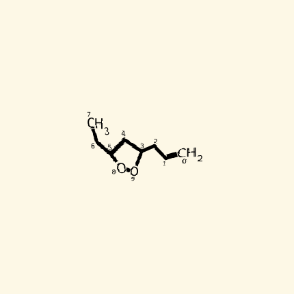 C=CCC1CC(CC)OO1